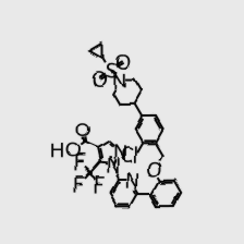 O=C(O)c1cnn(-c2cccc(-c3ccccc3OCc3ccc(C4CCN(S(=O)(=O)C5CC5)CC4)cc3Cl)n2)c1C(F)(F)F